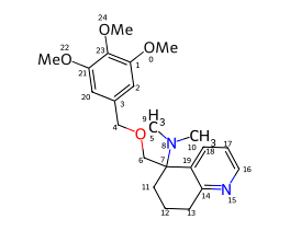 COc1cc(COCC2(N(C)C)CCCc3ncccc32)cc(OC)c1OC